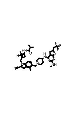 CNc1nc(NC2CCN(Cc3ccc4c(cc(C#N)n4CC45CC(NC(=O)C(C)C)(C4)[C@H]5C)c3C)CC2)c2cc(CC(F)(F)F)sc2n1